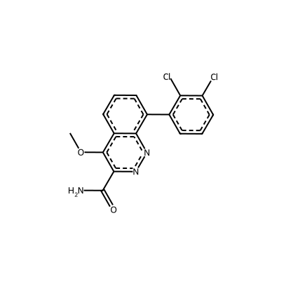 COc1c(C(N)=O)nnc2c(-c3cccc(Cl)c3Cl)cccc12